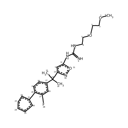 COCCOCCNC(=N)Nc1cc(C(C)(C)c2ccc(-c3ccccc3)c(F)c2)no1